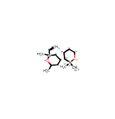 C=C[Si]1(C)CCCC(C)O1.C[Si]1(C)CCCCO1